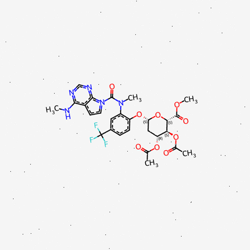 CNc1ncnc2c1ccn2C(=O)N(C)c1cc(C(F)(F)F)ccc1O[C@H]1C[C@@H](OC(C)=O)[C@H](OC(C)=O)[C@@H](C(=O)OC)O1